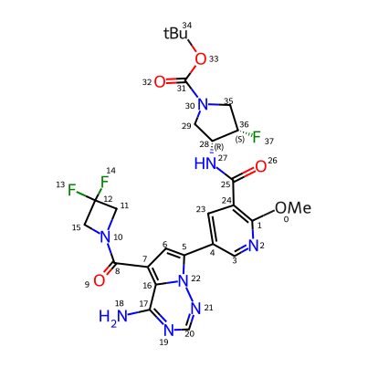 COc1ncc(-c2cc(C(=O)N3CC(F)(F)C3)c3c(N)ncnn23)cc1C(=O)N[C@@H]1CN(C(=O)OC(C)(C)C)C[C@@H]1F